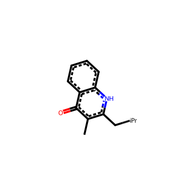 Cc1c(CC(C)C)[nH]c2ccccc2c1=O